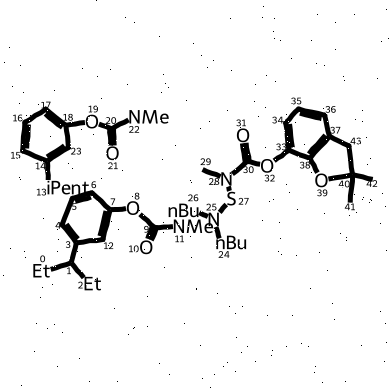 CCC(CC)c1cccc(OC(=O)NC)c1.CCCC(C)c1cccc(OC(=O)NC)c1.CCCCN(CCCC)SN(C)C(=O)Oc1cccc2c1OC(C)(C)C2